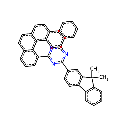 CC1(C)c2ccccc2-c2ccc(-c3nc(-c4ccccc4)nc(-c4cccc5ccc6ccc7ccccc7c6c45)n3)cc21